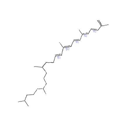 C=C(C)/C=C/C=C(C)/C=C/C=C(C)/C=C/CCC(C)CCCC(C)CCCC(C)C